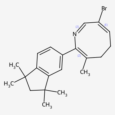 C/C1=C(c2ccc3c(c2)C(C)(C)CC3(C)C)/N=C\C(Br)=C/CC1